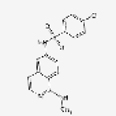 CNc1nccc2cc(NS(=O)(=O)c3ccc(Cl)cc3)ccc12